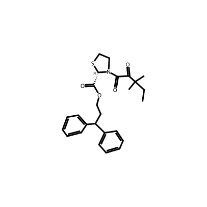 CCC(C)(C)C(=O)C(=O)N1CCS[C@H]1C(=O)OCCC(c1ccccc1)c1ccccc1